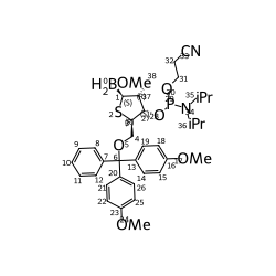 B[C@@H]1S[C@H](COC(c2ccccc2)(c2ccc(OC)cc2)c2ccc(OC)cc2)[C@@H](OP(OCCC#N)N(C(C)C)C(C)C)[C@H]1OC